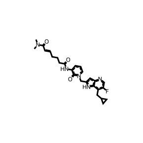 CN(C)C(=O)/C=C/CCCC(=O)Nc1cccn(Cc2cc3ncc(F)c(CC4CC4)c3[nH]2)c1=O